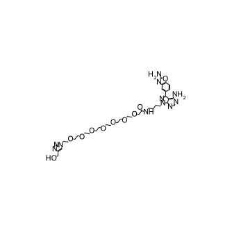 Nc1nc2cc(-c3nn(CCCCNC(=O)COCCOCCOCCOCCOCCOCCOCCn4cc(CO)nn4)c4ncnc(N)c34)ccc2o1